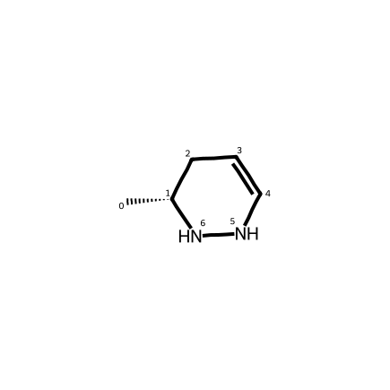 C[C@@H]1CC=CNN1